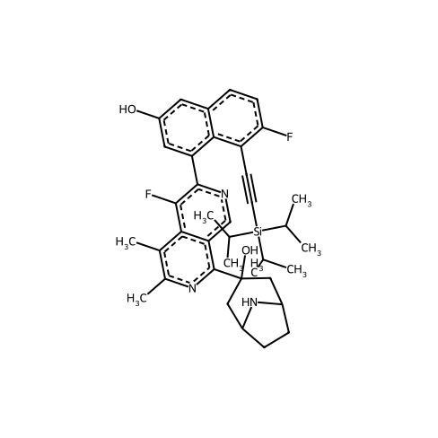 Cc1nc(C2(O)CC3CCC(C2)N3)c2cnc(-c3cc(O)cc4ccc(F)c(C#C[Si](C(C)C)(C(C)C)C(C)C)c34)c(F)c2c1C